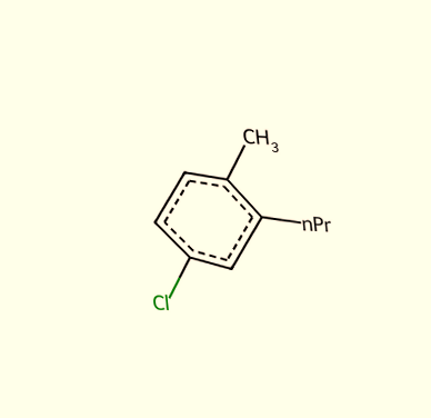 C[CH]Cc1cc(Cl)ccc1C